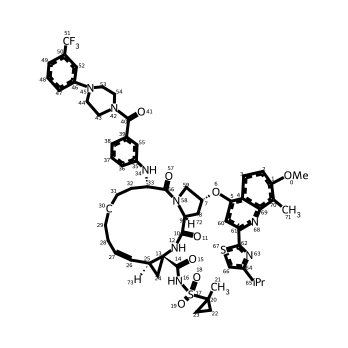 COc1ccc2c(O[C@@H]3C[C@H]4C(=O)N[C@]5(C(=O)NS(=O)(=O)C6(C)CC6)C[C@H]5/C=C\CCCCC[C@H](Nc5cccc(C(=O)N6CCN(c7cccc(C(F)(F)F)c7)CC6)c5)C(=O)N4C3)cc(-c3nc(C(C)C)cs3)nc2c1C